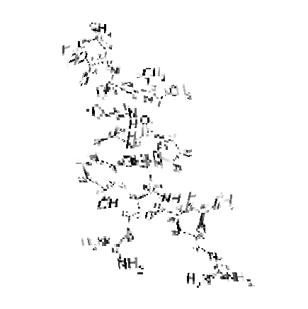 CC[C@H](C)[C@H](NC(=O)[C@H](Cc1ccc(O)cc1)NC(=O)[C@@H]1CCCN1C(=O)[C@H](CCCN=C(N)N)NC(=O)[C@H](CCCN=C(N)N)NC(C)=O)C(=O)N[C@@H](CC(C)C)C(=O)O